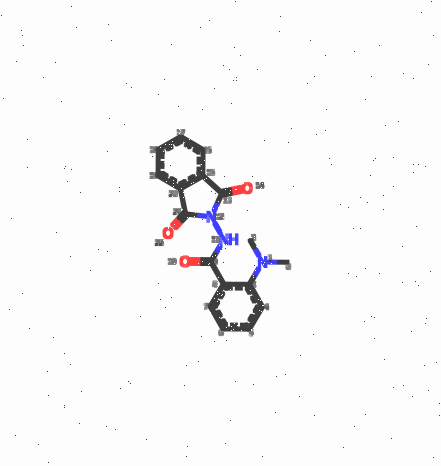 CN(C)c1ccccc1C(=O)NN1C(=O)c2ccccc2C1=O